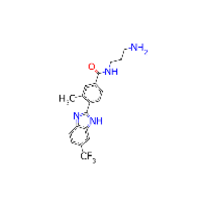 Cc1cc(C(=O)NCCCN)ccc1-c1nc2ccc(C(F)(F)F)cc2[nH]1